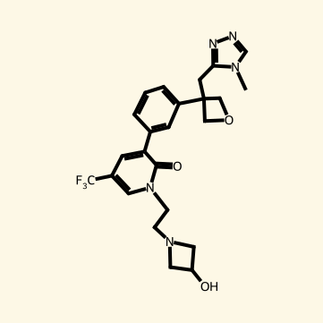 Cn1cnnc1CC1(c2cccc(-c3cc(C(F)(F)F)cn(CCN4CC(O)C4)c3=O)c2)COC1